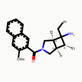 CC[C@@H]1[C@H]2CN(C(=O)c3cc4ccccc4cc3OC)C[C@H]2C1(N)CC(C)C